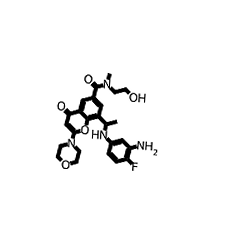 CC(Nc1ccc(F)c(N)c1)c1cc(C(=O)N(C)CCO)cc2c(=O)cc(N3CCOCC3)oc12